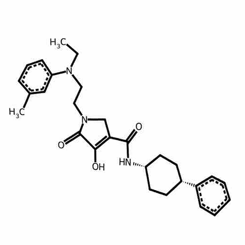 CCN(CCN1CC(C(=O)N[C@H]2CC[C@@H](c3ccccc3)CC2)=C(O)C1=O)c1cccc(C)c1